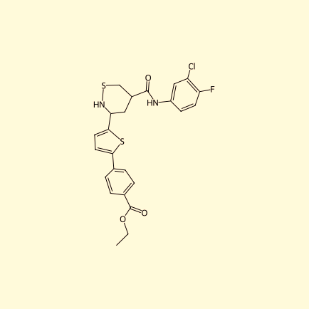 CCOC(=O)c1ccc(-c2ccc(C3CC(C(=O)Nc4ccc(F)c(Cl)c4)CSN3)s2)cc1